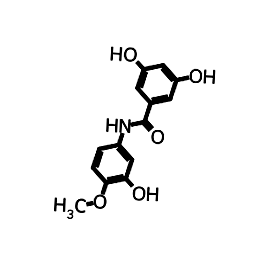 COc1ccc(NC(=O)c2cc(O)cc(O)c2)cc1O